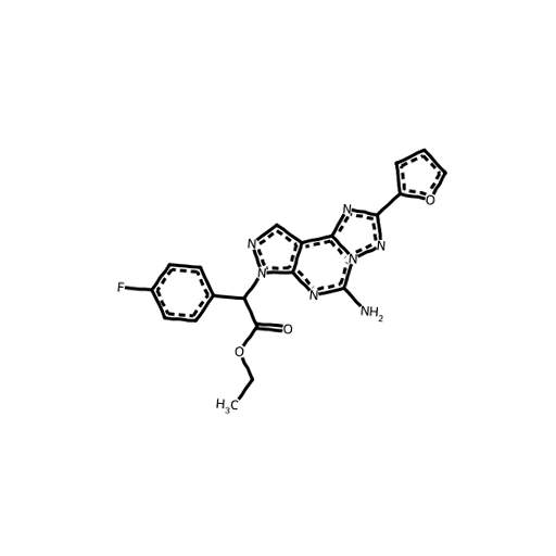 CCOC(=O)C(c1ccc(F)cc1)n1ncc2c1nc(N)n1nc(-c3ccco3)nc21